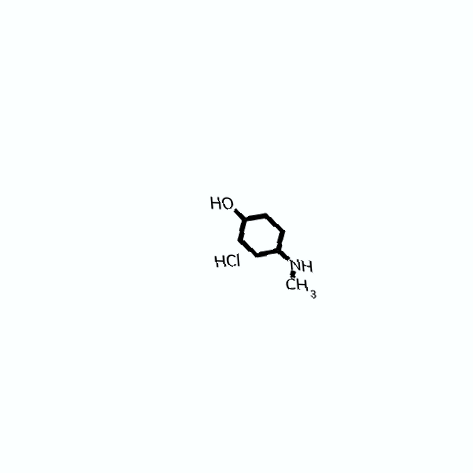 CNC1CCC(O)CC1.Cl